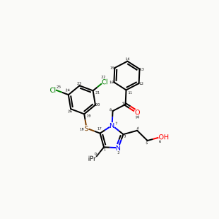 CC(C)c1nc(CCO)n(CC(=O)c2ccccc2)c1Sc1cc(Cl)cc(Cl)c1